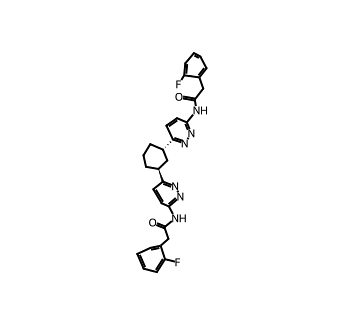 O=C(Cc1ccccc1F)Nc1ccc([C@H]2CCC[C@H](c3ccc(NC(=O)Cc4ccccc4F)nn3)C2)nn1